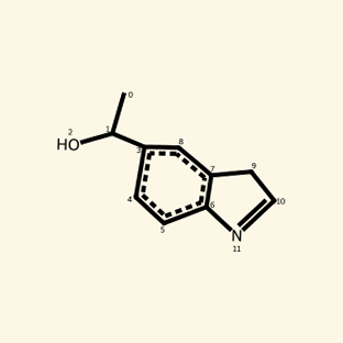 CC(O)c1ccc2c(c1)CC=N2